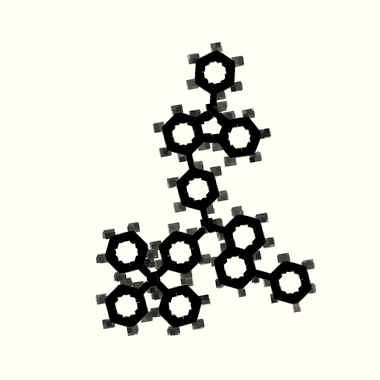 c1ccc(-c2cccc3c(N(c4ccc(-c5cccc6c5c5ccccc5n6-c5ccccc5)cc4)c4ccc([Si](c5ccccc5)(c5ccccc5)c5ccccc5)cc4)cccc23)cc1